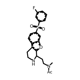 CC(=O)N(C)CCC1NCCc2c1oc1cc(S(=O)(=O)c3cccc(F)c3)ccc21